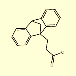 O=C(Cl)CCC12CC(c3ccccc31)c1ccccc12